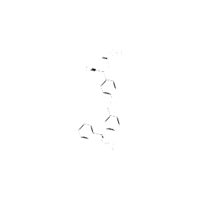 CO/N=C(/c1ccccc1)c1cccc(COc2ccc(C(C#N)CC(=O)O)cc2)c1